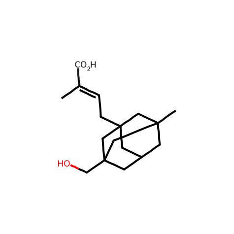 CC(=CCC12CC3CC(C)(CC(CO)(C3)C1)C2)C(=O)O